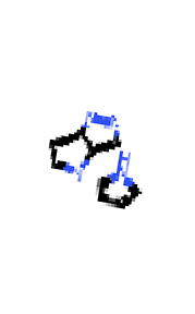 C1=NC2=CN=NC2=C1.c1cc[nH]c1